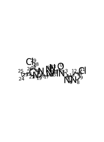 O=C(NCc1ncn2ccc(Cl)cc12)c1cn(Cc2cn3cc(C4CC4)cc(CCl)c3n2)nn1